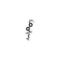 CN(C)CCCNC(=O)c1cccc(-c2cccc(CN)c2)c1